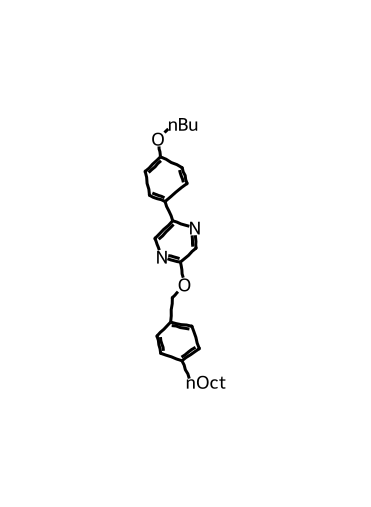 CCCCCCCCc1ccc(COc2cnc(-c3ccc(OCCCC)cc3)cn2)cc1